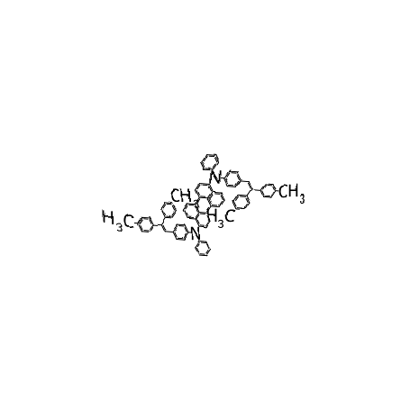 Cc1ccc(C(=Cc2ccc(N(c3ccccc3)c3ccc4c5cccc6c(N(c7ccccc7)c7ccc(C=C(c8ccc(C)cc8)c8ccc(C)cc8)cc7)ccc(c7cccc3c74)c65)cc2)c2ccc(C)cc2)cc1